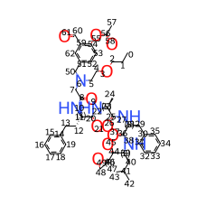 CCCOCCN(CC(=O)N[C@@H](CCc1ccccc1)C(=O)N[C@@H](C)C(=O)N[C@@H](Cc1ccccc1)C(=O)N[C@@H](CC(C)C)C(=O)[C@@]1(C)CO1)Cc1ccc(OC(C)=O)c(C=O)c1